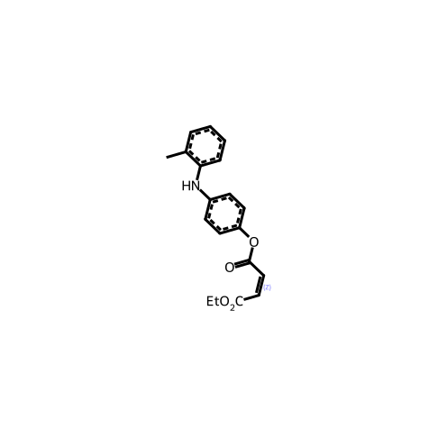 CCOC(=O)/C=C\C(=O)Oc1ccc(Nc2ccccc2C)cc1